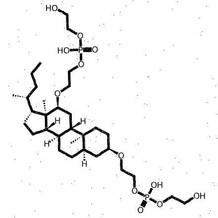 CCC[C@@H](C)[C@H]1CC[C@H]2[C@@H]3CC[C@@H]4C[C@H](OCCOP(=O)(O)OCCO)CC[C@]4(C)[C@H]3C[C@H](OCCOP(=O)(O)OCCO)[C@]12C